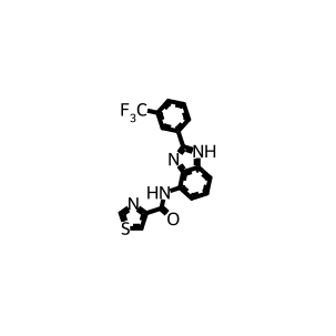 O=C(Nc1cccc2[nH]c(-c3cccc(C(F)(F)F)c3)nc12)c1cscn1